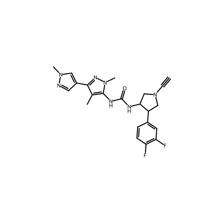 C#CN1CC(NC(=O)Nc2c(C)c(-c3cnn(C)c3)nn2C)C(c2ccc(F)c(F)c2)C1